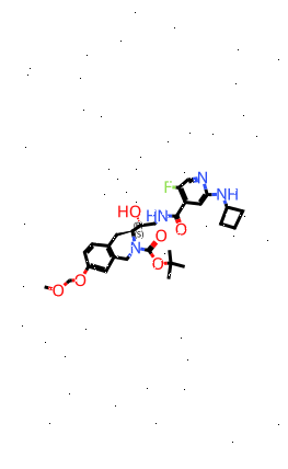 COCOc1ccc2c(c1)CN(C(=O)OC(C)(C)C)[C@H]([C@H](O)CNC(=O)c1cc(NC3CCC3)ncc1F)C2